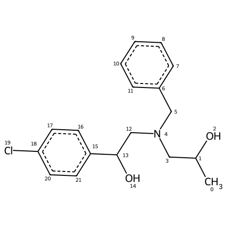 CC(O)CN(Cc1ccccc1)CC(O)c1ccc(Cl)cc1